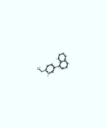 ClCc1ccc(-c2cccc3ccccc23)cn1